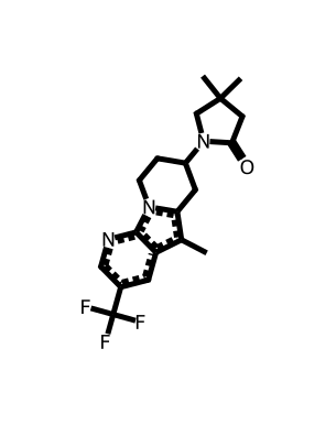 Cc1c2n(c3ncc(C(F)(F)F)cc13)CCC(N1CC(C)(C)CC1=O)C2